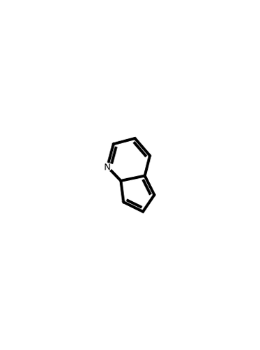 C1=CC2=CC=CC2N=C1